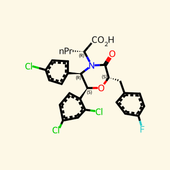 CCC[C@H](C(=O)O)N1C(=O)[C@H](Cc2ccc(F)cc2)O[C@@H](c2ccc(Cl)cc2Cl)[C@H]1c1ccc(Cl)cc1